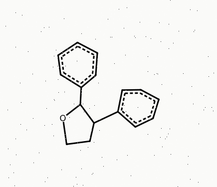 c1ccc(C2CCOC2c2ccccc2)cc1